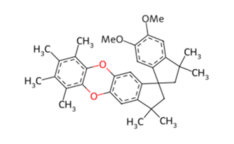 COc1cc2c(cc1OC)C1(CC2(C)C)CC(C)(C)c2cc3c(cc21)Oc1c(C)c(C)c(C)c(C)c1O3